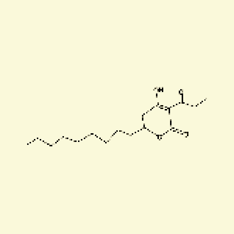 CCCCCCCCCC1CC(O)=C(C(=O)CC)C(=O)O1